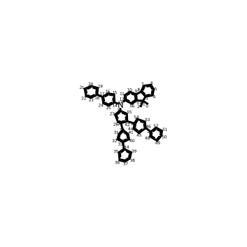 CC1(C)c2ccccc2-c2ccc(N(c3ccc(-c4ccccc4)cc3)c3ccc(-c4ccc(-c5ccccc5)cc4)c(-c4ccc(-c5ccccc5)cc4)c3)cc21